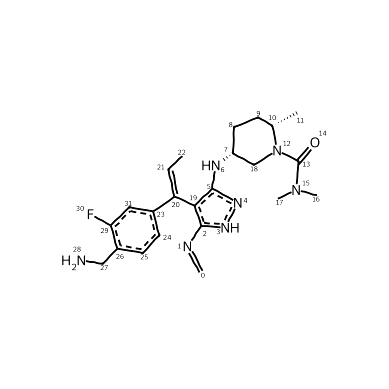 C=Nc1[nH]nc(N[C@@H]2CC[C@H](C)N(C(=O)N(C)C)C2)c1/C(=C\C)c1ccc(CN)c(F)c1